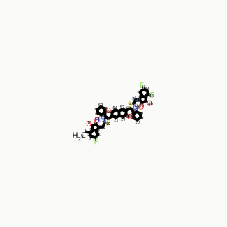 C=Cc1cc(F)cc2c1C(=O)C(=O)C2CC1NC2=C(S1)C1=CC3C=C4OC5(CCCCC5)c5nc(/C=C6\C(=O)C(=O)c7c(F)cc(F)cc76)sc5C4=CC3C=C1OC21CCCCC1